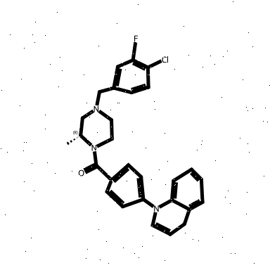 C[C@@H]1CN(Cc2ccc(Cl)c(F)c2)CCN1C(=O)c1ccc(N2C=CCc3ccccc32)cc1